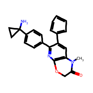 CN1C(=O)COc2nc(-c3ccc(C4(N)CC4)cc3)c(-c3ccccc3)cc21